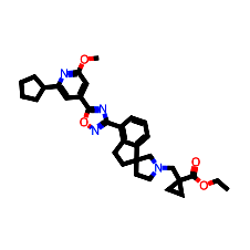 CCOC(=O)C1(CN2CCC3(CCc4c(-c5noc(-c6cc(OC)nc(C7CCCC7)c6)n5)cccc43)C2)CC1